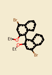 CCOc1cc(Br)c2ccccc2c1-c1c(OCC)cc(Br)c2ccccc12